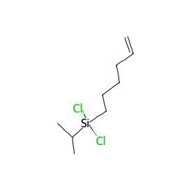 C=CCCCC[Si](Cl)(Cl)C(C)C